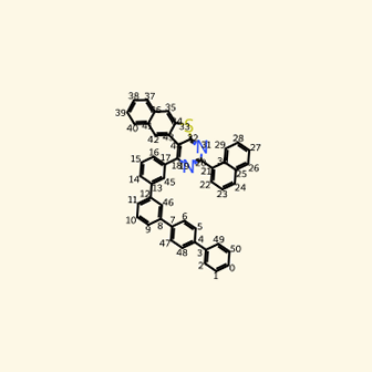 c1ccc(-c2ccc(-c3cccc(-c4cccc(-c5nc(-c6cccc7ccccc67)nc6sc7cc8ccccc8cc7c56)c4)c3)cc2)cc1